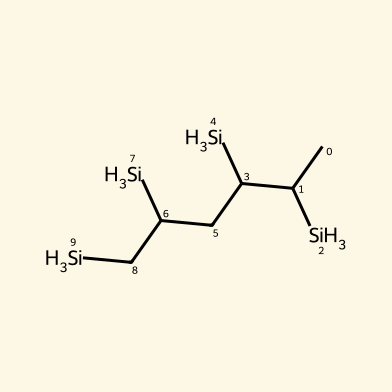 CC([SiH3])C([SiH3])CC([SiH3])C[SiH3]